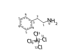 NCCc1ccccc1.[Cl][Al-]([Cl])([Cl])[Cl]